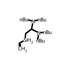 C=C[SiH2]CC(N(CCCC)CCCC)N(CCCC)CCCC